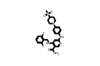 CS(=O)(=O)C1CCN(c2ccc(Nc3cc(NCc4c(F)cccc4F)c(C(N)=O)cn3)cc2)CC1